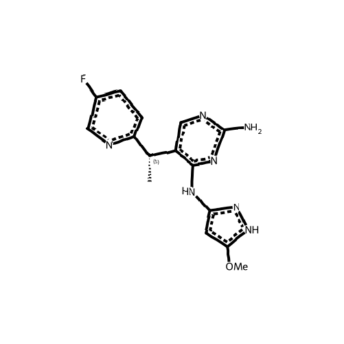 COc1cc(Nc2nc(N)ncc2[C@H](C)c2ccc(F)cn2)n[nH]1